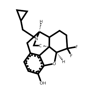 Oc1ccc2c3c1O[C@@H]1C(F)(F)CCC4[C@H](C2)N(CC2CC2)CC[C@]341